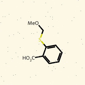 COCSc1ccccc1C(=O)O